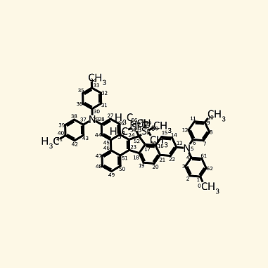 Cc1ccc(N(c2ccc(C)cc2)c2ccc3c4c(ccc3c2)-c2c(c3ccc(N(c5ccc(C)cc5)c5ccc(C)cc5)cc3c3ccccc23)C4([Si](C)(C)C)[Si](C)(C)C)cc1